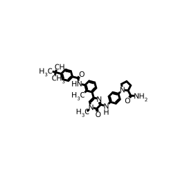 Cc1c(NC(=O)c2ccc(C(C)(C)C)cc2)cccc1-c1cn(C)c(=O)c(Nc2ccc(N3CCCC3C(N)=O)cc2)n1